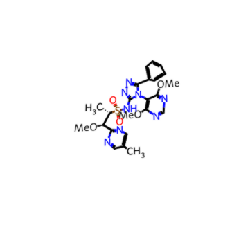 COc1ncnc(OC)c1-n1c(NS(=O)(=O)[C@@H](C)[C@H](OC)c2ncc(C)cn2)nnc1-c1ccccc1